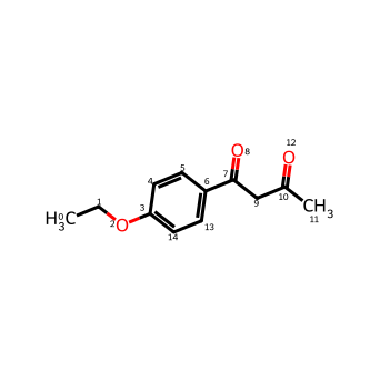 CCOc1ccc(C(=O)CC(C)=O)cc1